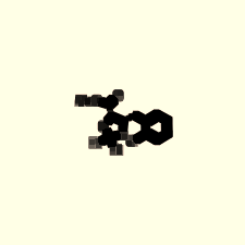 CCC1(CC)O[C@@H](Cc2ccccc2Cl)[C@@H](C(=O)OC)O1